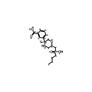 CCCCP(=O)(O)C[C@H]1CN[C@](C)(c2cccc(C(=O)O)c2)CO1